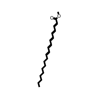 CCCCCCCCC/C=C/C=C/C=C/C=C/C=C/C(=O)OC